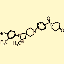 C[C@H]1CC2(CCN(c3ccc(C(=O)N4CCC(=O)CC4)cc3)CC2)CN1c1ccc(C#N)c(C(F)(F)F)c1